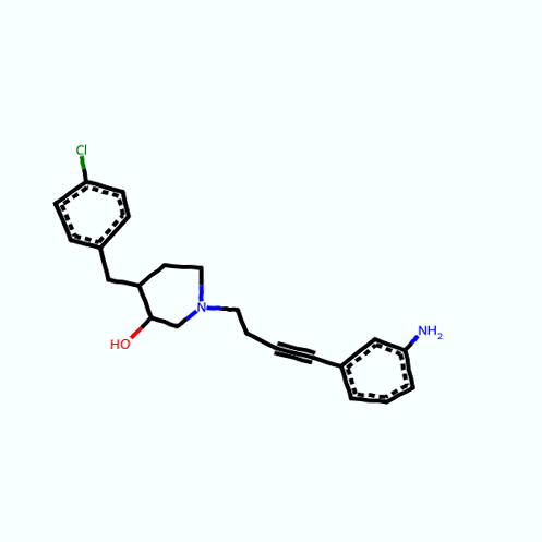 Nc1cccc(C#CCCN2CCC(Cc3ccc(Cl)cc3)C(O)C2)c1